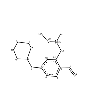 C=Cc1ccc(CC2CCCCC2)cc1CN(C)NC